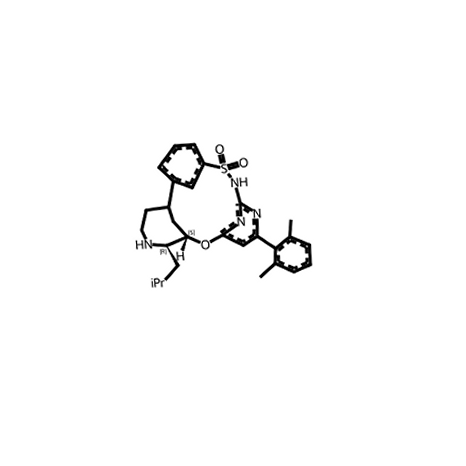 Cc1cccc(C)c1-c1cc2nc(n1)NS(=O)(=O)c1cccc(c1)C1CCN[C@H](CC(C)C)[C@H](C1)O2